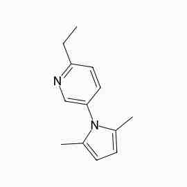 CCc1ccc(-n2c(C)ccc2C)cn1